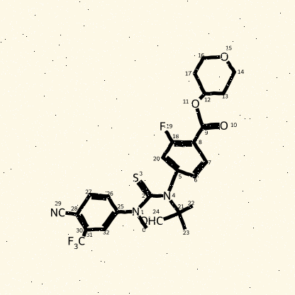 CN(C(=S)N(c1ccc(C(=O)OC2CCOCC2)c(F)c1)C(C)(C)C=O)c1ccc(C#N)c(C(F)(F)F)c1